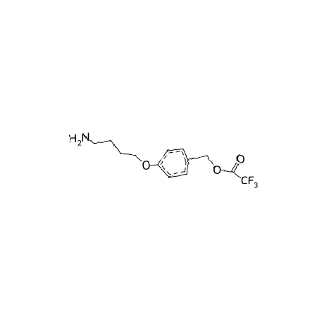 NCCCCOc1ccc(COC(=O)C(F)(F)F)cc1